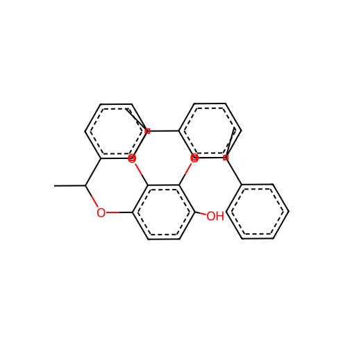 CC(Oc1ccc(O)c(OC(C)c2ccccc2)c1OC(C)c1ccccc1)c1ccccc1